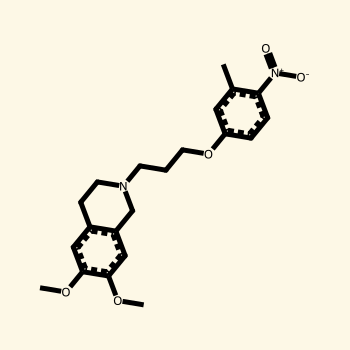 COc1cc2c(cc1OC)CN(CCCOc1ccc([N+](=O)[O-])c(C)c1)CC2